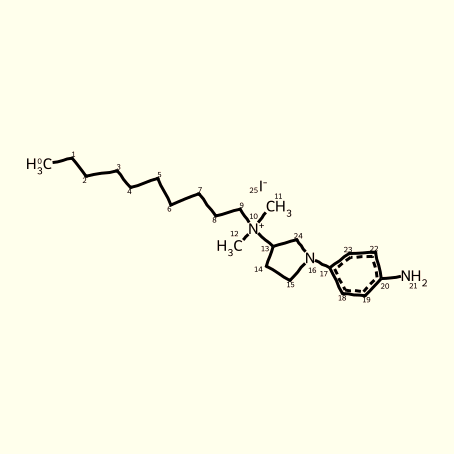 CCCCCCCCCC[N+](C)(C)C1CCN(c2ccc(N)cc2)C1.[I-]